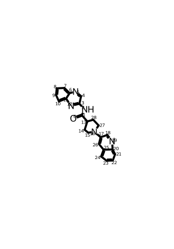 O=C(Nc1cnc2ccccc2n1)C1CCN(c2cnc3ccccc3c2)CC1